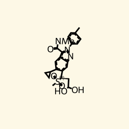 CNC(=O)c1c2cc(C3CC3)c([C@@H](CC(O)O)S(C)(=O)=O)cc2nn1-c1ccc(C)cc1